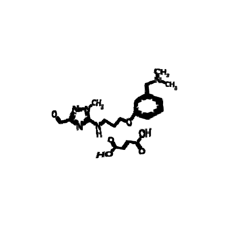 CN(C)Cc1cccc(OCCCNc2nc(C=O)nn2C)c1.O=C(O)C=CC(=O)O